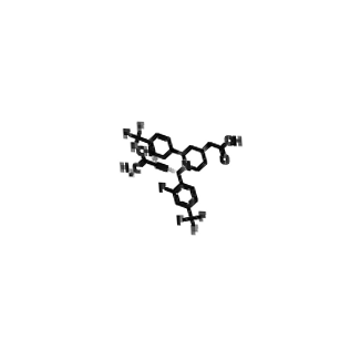 C=C(C)C#C[C@@H](c1ccc(C(F)(F)F)cc1F)N1CC[C@H](CC(=O)O)C[C@@H]1C1C=CC(C(F)(F)F)=CC1